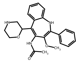 COC1=C(c2ccccc2)Nc2ccccc2C(C2CNCCO2)=C1NC(C)=O